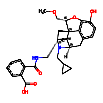 COC[C@@H]1Oc2c(O)ccc3c2[C@@]12CCN(CC1CC1)[C@H](C3)[C@]21CCC[C@@H](CNC(=O)c2ccccc2C(=O)O)C1